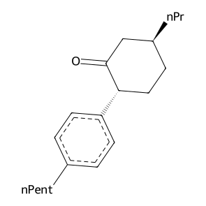 CCCCCc1ccc([C@H]2CC[C@H](CCC)CC2=O)cc1